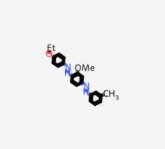 CCOc1ccc(/N=N/c2ccc(/N=N/c3cccc(C)c3)cc2OC)cc1